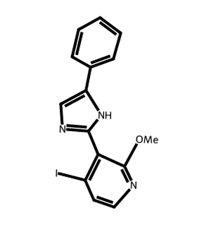 COc1nccc(I)c1-c1ncc(-c2ccccc2)[nH]1